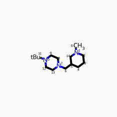 CN1CCCC(CN2CCN(C(C)(C)C)CC2)C1